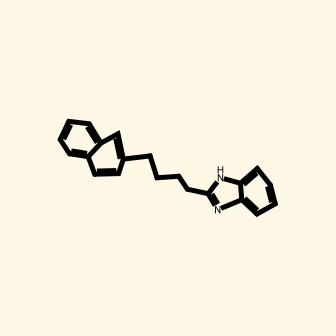 c1ccc2cc(CCCCc3nc4ccccc4[nH]3)ccc2c1